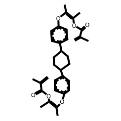 C=C(C)C(=O)OC(C)=C(C)Oc1ccc(C2CCC(c3ccc(OC(C)=C(C)OC(=O)C(=C)C)cc3)CC2)cc1